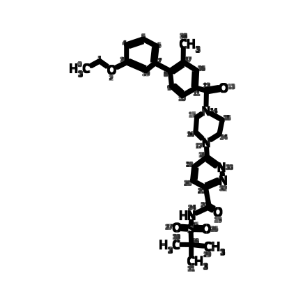 CCOc1cccc(-c2ccc(C(=O)N3CCN(c4ccc(C(=O)NS(=O)(=O)C(C)(C)C)nn4)CC3)cc2C)c1